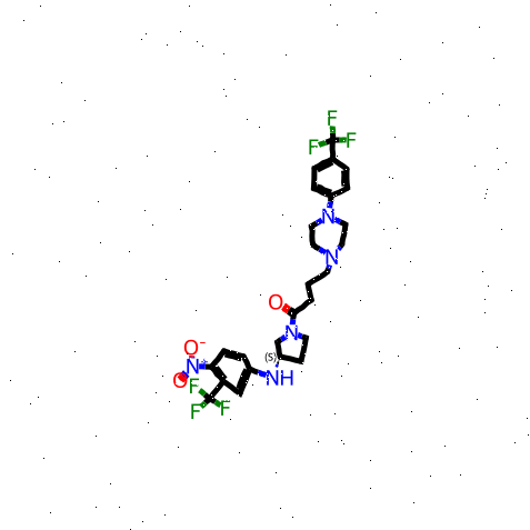 O=C(CCCN1CCN(c2ccc(C(F)(F)F)cc2)CC1)N1CC[C@H](Nc2ccc([N+](=O)[O-])c(C(F)(F)F)c2)C1